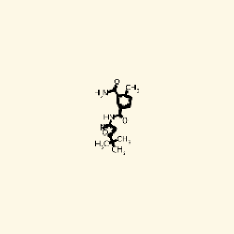 Cc1ccc(C(=O)Nc2cc(C(C)(C)C)on2)cc1C(N)=O